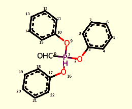 O=C[PH](Oc1ccccc1)(Oc1ccccc1)Oc1ccccc1